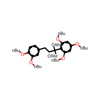 CCCCOc1cc(OCCCC)c(C(CCc2ccc(OCCCC)c(OCCCC)c2)(OC)OC)c(OCCCC)c1